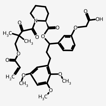 C=CC(=O)OCC(C)(C)C(=O)C(=O)N1CCCC[C@H]1C(=O)OC(CCc1cc(OC)cc(OC)c1OC)c1cccc(OCC(=O)O)c1